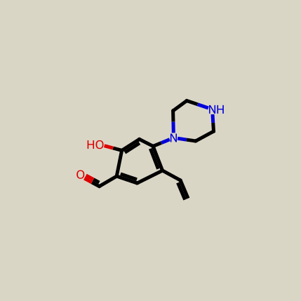 C=Cc1cc(C=O)c(O)cc1N1CCNCC1